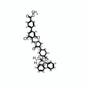 COC(=O)c1ccc(-c2cc(Cl)c(CN3CCC(C4CCC(O[Si](c5ccccc5)(c5ccccc5)C(C)(C)C)CC4)C3=O)c(Cl)c2)cc1